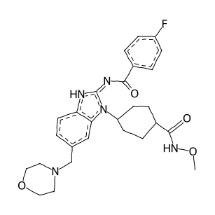 CONC(=O)C1CCC(n2/c(=N\C(=O)c3ccc(F)cc3)[nH]c3ccc(CN4CCOCC4)cc32)CC1